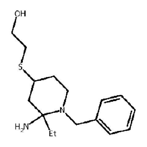 CCC1(N)C[C](SCCO)CCN1Cc1ccccc1